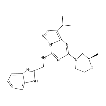 CC(C)c1cnn2c(NCc3nc4ccccc4[nH]3)nc(N3CCO[C@H](C)C3)nc12